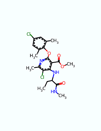 CCC(Nc1c(Cl)c(C)nc(Oc2c(C)cc(Cl)cc2C)c1C(=O)OC)C(=O)NC